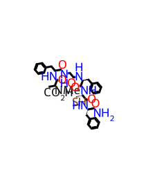 CN[C@@H](CC(=O)O)C(=O)NC(Cc1ccccc1)C(=O)NCC(=O)N[C@@H](Cc1ccccc1)C(=O)N[C@@H](CS)C(=O)N[C@@H](Cc1ccccc1)C(N)=O